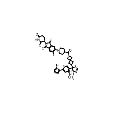 CNc1cc(-c2ccc[nH]2)ncc1C1(C2CC3(C2)CN(C(=O)C2CCN(c4cc5c(cc4F)C(=O)N(C4CCC(=O)NC4=O)C5=O)CC2)C3)NN=CS1